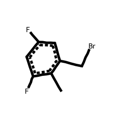 Cc1c(F)cc(F)cc1CBr